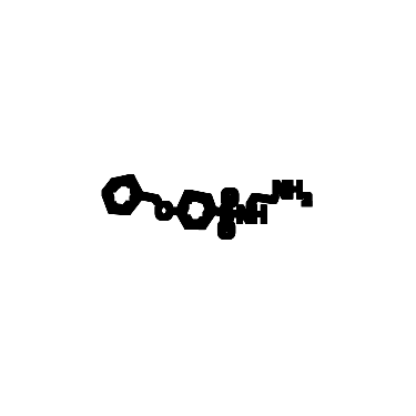 NCCNS(=O)(=O)c1ccc(OCc2ccccc2)cc1